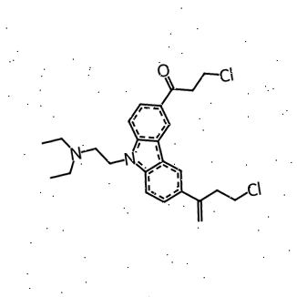 C=C(CCCl)c1ccc2c(c1)c1cc(C(=O)CCCl)ccc1n2CCN(CC)CC